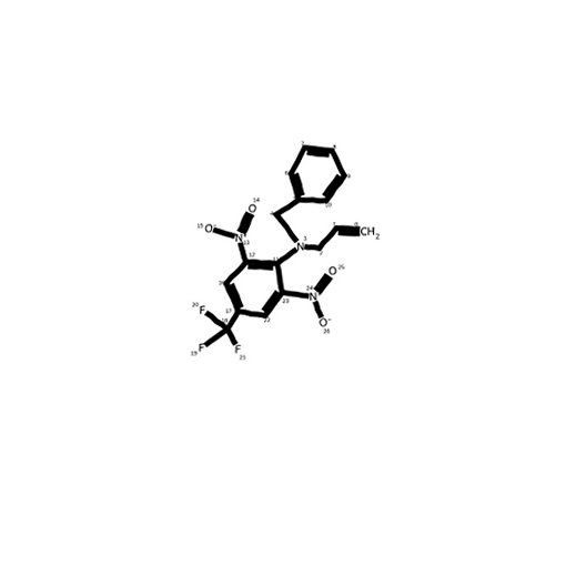 C=CCN(Cc1ccccc1)c1c([N+](=O)[O-])cc(C(F)(F)F)cc1[N+](=O)[O-]